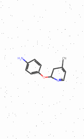 N#CC1=CC=NC(Oc2ccc(N)cc2)C1